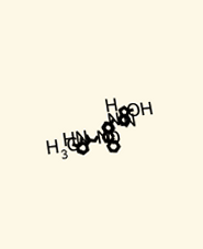 CC1=C2NC=C(CCN3CC4(CCCCC4)Oc4cc(Nc5ccnc6c5CCC6O)ccc43)C2CC=C1